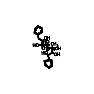 C[C@@](O)(C(O)Cc1ccccc1)[C@@H](O)[C@H](O)[C@](C)(O)C(O)Cc1ccccc1